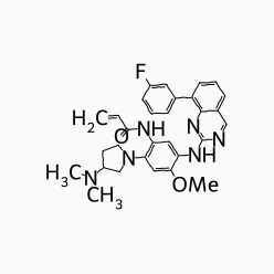 C=CC(=O)Nc1cc(Nc2ncc3cccc(-c4cccc(F)c4)c3n2)c(OC)cc1N1CCC(N(C)C)C1